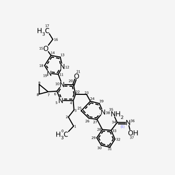 CCCCc1nc(C2CC2)n(-c2ncc(OCC)cn2)c(=O)c1Cc1ccc(-c2ccccc2/C(N)=N\O)nc1